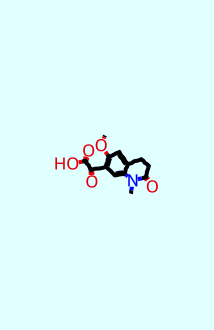 COc1cc2c(cc1C(=O)C(=O)O)N(C)C(=O)CC2